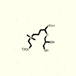 CCCCCCCCC(CCC[N+](C)(C)CCC(=O)[O-])OCC(O)CO